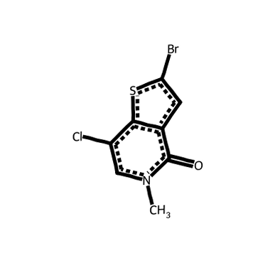 Cn1cc(Cl)c2sc(Br)cc2c1=O